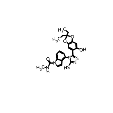 CCC1(CC)Oc2cc(O)c(-c3nnc(S)n3-c3cccc4c3ccn4C(=O)NC)cc2O1